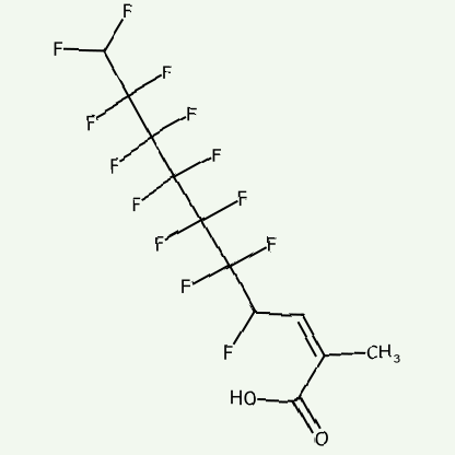 CC(=CC(F)C(F)(F)C(F)(F)C(F)(F)C(F)(F)C(F)(F)C(F)F)C(=O)O